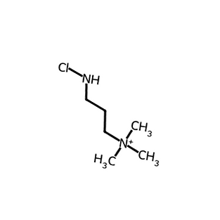 C[N+](C)(C)CCCNCl